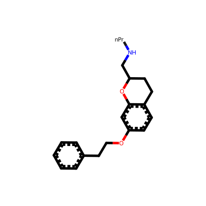 CCCNCC1CCc2ccc(OCCc3ccccc3)cc2O1